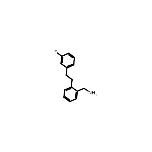 NCc1ccccc1CCc1cccc(F)c1